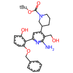 CC(C)(C)OC(=O)N1CCCC(c2cc(-c3c(O)cccc3OCc3ccccc3)nc(N)c2CO)C1